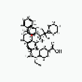 CC[C@H](C1CCC(C(=O)O)CC1)N(C)c1nc2c(c(N[C@H](c3cnn(C)c3)C(C)(C)N3CCCCC3)n1)C[C@H](c1ccccc1)CC2